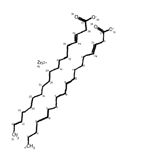 CCCCCCCCCCCCCCC=CCC(=O)[O-].CCCCCCCCCCCCCCC=CCC(=O)[O-].[Zn+2]